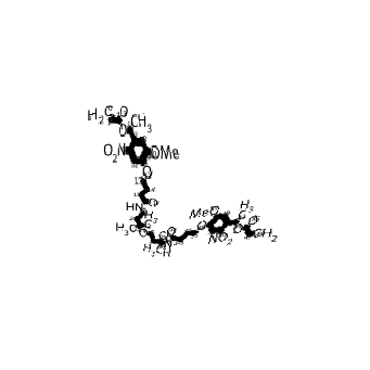 C=CC(=O)OC(C)c1cc(OC)c(OCCCC(=O)NCCC(C)(C)OCCC(C)(C)NC(=O)CCCOc2cc([N+](=O)[O-])c(C(C)OC(=O)C=C)cc2OC)cc1[N+](=O)[O-]